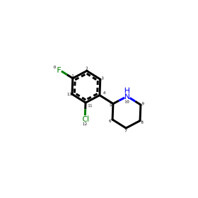 Fc1ccc(C2CCCCN2)c(Cl)c1